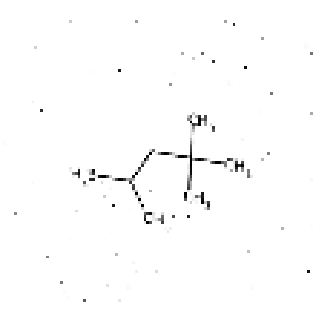 BC(C)CC(C)(C)C